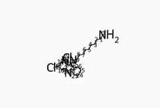 NCCCCCCCCCNc1c2c(nc3cc(Cl)cc(Cl)c13)CCCC2